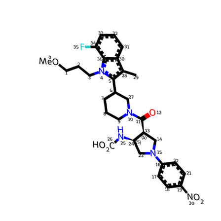 COCCCn1c(C2CCCN(C(=O)[C@H]3CN(c4ccc([N+](=O)[O-])cc4)C[C@H]3NC(=O)O)C2)c(C)c2cccc(F)c21